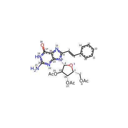 CC(=O)OC[C@H]1O[C@@H](n2c(/C=C/c3ccccc3)nc3c(=O)[nH]c(N)nc32)C(OC(C)=O)[C@H]1OC(C)=O